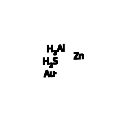 S.[AlH3].[Au].[Zn]